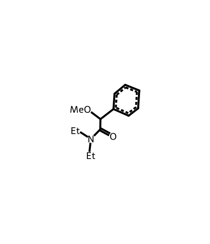 CCN(CC)C(=O)C(OC)c1ccccc1